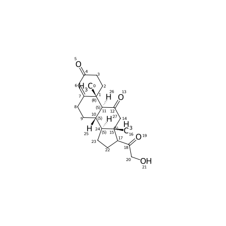 C[C@]12CCC(=O)C=C1CC[C@@H]1[C@@H]2C(=O)C[C@]2(C)C(C(=O)CO)CC[C@@H]12